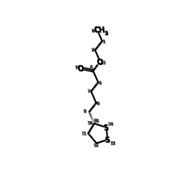 CCCOC(=O)CCCC[C@H]1CCSS1